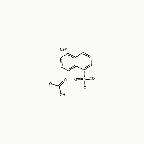 O=C([O-])O.O=S(=O)([O-])c1cccc2ccccc12.[Ca+2]